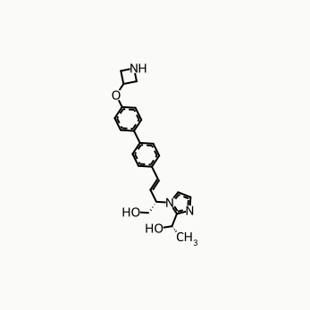 C[C@H](O)c1nccn1[C@@H](/C=C/c1ccc(-c2ccc(OC3CNC3)cc2)cc1)CO